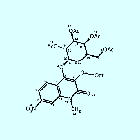 CCCCCCCCOc1c(O[C@@H]2O[C@H](COC(C)=O)[C@H](OC(C)=O)[C@H](OC(C)=O)[C@H]2OC(C)=O)c2ccc([N+](=O)[O-])cc2n(C)c1=O